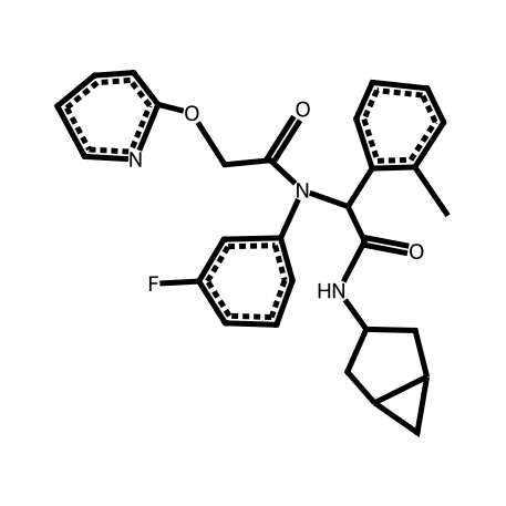 Cc1ccccc1C(C(=O)NC1CC2CC2C1)N(C(=O)COc1ccccn1)c1cccc(F)c1